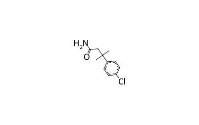 CC(C)(CC(N)=O)c1ccc(Cl)cc1